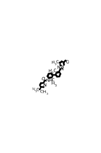 Cc1c(NC(=O)c2ccc(C(C)C)cn2)cccc1-c1cccc(-c2nc3c(C)cc(C=O)cn3n2)c1C